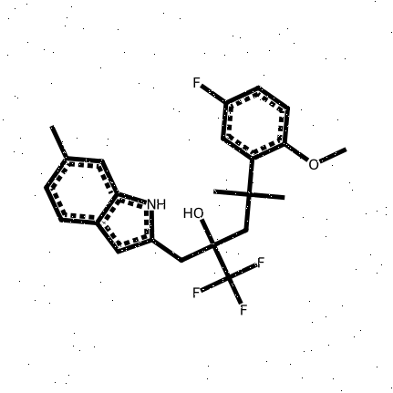 COc1ccc(F)cc1C(C)(C)CC(O)(Cc1cc2ccc(C)cc2[nH]1)C(F)(F)F